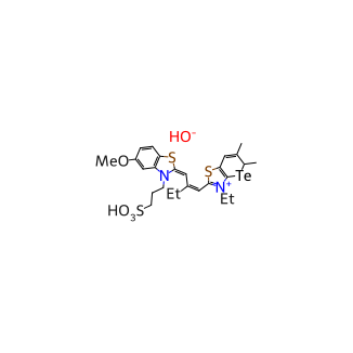 CCC(=Cc1sc2c([n+]1CC)[Te]C(C)C(C)=C2)C=C1Sc2ccc(OC)cc2N1CCCS(=O)(=O)O.[OH-]